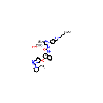 COCCCNCc1ccc(-n2nc(C(C)(C)C)cc2NC(=O)N[C@H]2CC[C@@H](Oc3ccc4nnc(N5CCCCC5C)n4c3)c3ccccc32)cc1.O=CO